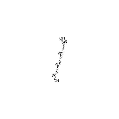 O=C(CSCCSCC[S+]([O-])CSCCSCSC(=O)CSCCSCC[S+]([O-])CCO)SCCO